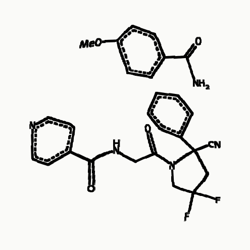 COc1ccc(C(N)=O)cc1.N#CC1(c2ccccc2)CC(F)(F)CN1C(=O)CNC(=O)c1ccncc1